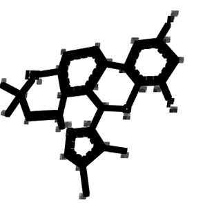 CC1=CC(C)(C)Nc2ccc3c(c21)C(c1scc(C)c1C)Oc1c(F)cc(F)cc1-3